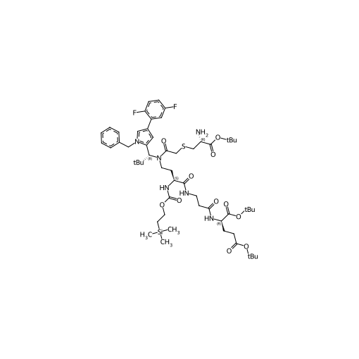 CC(C)(C)OC(=O)CC[C@@H](NC(=O)CCNC(=O)[C@H](CCN(C(=O)CSC[C@H](N)C(=O)OC(C)(C)C)[C@@H](c1cc(-c2cc(F)ccc2F)cn1Cc1ccccc1)C(C)(C)C)NC(=O)OCC[Si](C)(C)C)C(=O)OC(C)(C)C